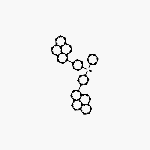 O=P(c1ccccc1)(c1ccc(-c2ccc3ccc4cccc5ccc2c3c45)cc1)c1ccc(-c2ccc3ccc4cccc5ccc2c3c45)cc1